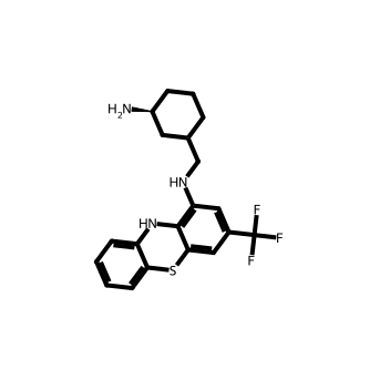 N[C@H]1CCCC(CNc2cc(C(F)(F)F)cc3c2Nc2ccccc2S3)C1